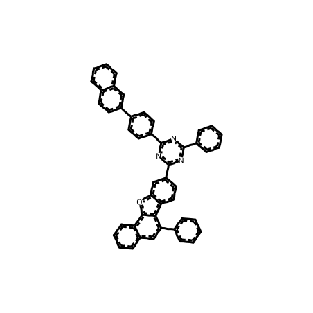 c1ccc(-c2nc(-c3ccc(-c4ccc5ccccc5c4)cc3)nc(-c3ccc4c(c3)oc3c5ccccc5cc(-c5ccccc5)c43)n2)cc1